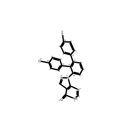 O=c1[nH]cnc2c1cnn2-c1cccc(-c2ccc(F)cc2)c1-c1ccc(Cl)cc1